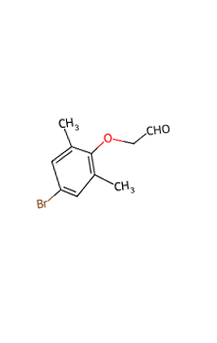 Cc1cc(Br)cc(C)c1OCC=O